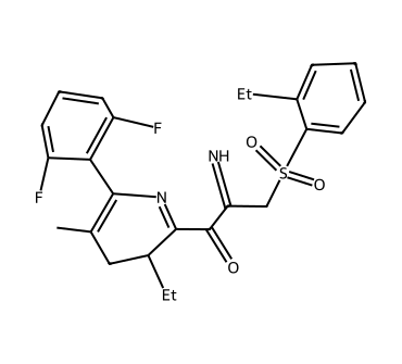 CCc1ccccc1S(=O)(=O)CC(=N)C(=O)C1=NC(c2c(F)cccc2F)=C(C)CC1CC